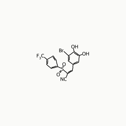 N#CC(=Cc1cc(O)c(O)c(Br)c1)S(=O)(=O)c1ccc(C(F)(F)F)cc1